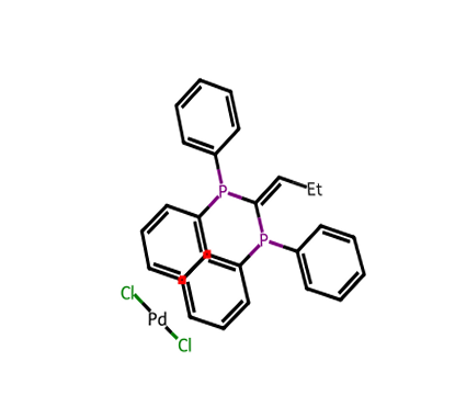 CCC=C(P(c1ccccc1)c1ccccc1)P(c1ccccc1)c1ccccc1.[Cl][Pd][Cl]